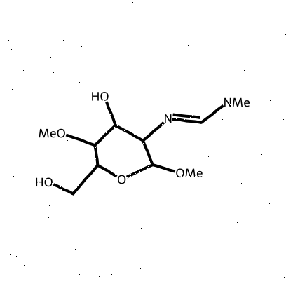 CN/C=N/C1C(OC)OC(CO)C(OC)C1O